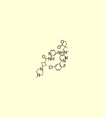 CN1CCN(C2CC(C(=O)Nc3cc(Nc4cc(-c5cc(Cl)ccc5F)nnc4N(C)CC4(C)CCOC4=O)ccn3)C2)CC1